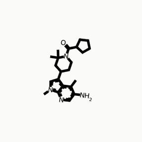 Cc1c(N)cnc2c1c(C1CCN(C(=O)C3CCCC3)C(C)(C)C1)cn2C